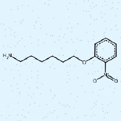 NCCCCCCOc1ccccc1[N+](=O)[O-]